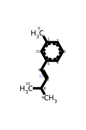 Cc1cccc(/C=C/C(C)C)c1